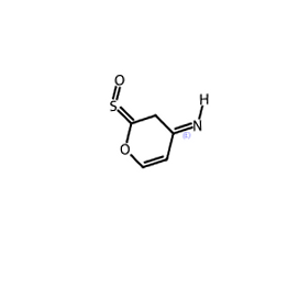 [H]/N=C1/C=COC(=S=O)C1